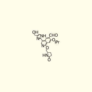 CC(C)Oc1cc2c(OCC3CCC(=O)N3)ncc(-c3nc(CO)c[nH]3)c2cc1C=O